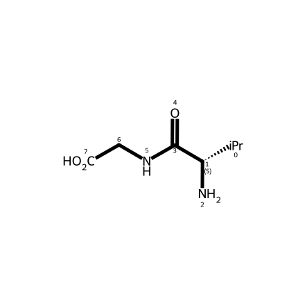 CC(C)[C@H](N)C(=O)NCC(=O)O